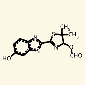 CC1(C)SC(c2nc3ccc(O)cc3s2)=NC1OC=O